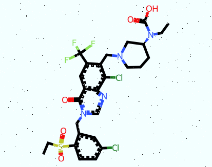 CCN(C(=O)O)[C@H]1CCCN(Cc2c(C(F)(F)F)cc3c(=O)n(Cc4cc(Cl)ccc4S(=O)(=O)CC)cnc3c2Cl)C1